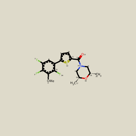 COc1c(F)c(F)cc(-c2ccc(C(=O)N3C[C@@H](C)O[C@@H](C)C3)s2)c1F